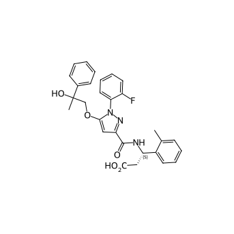 Cc1ccccc1[C@H](CC(=O)O)NC(=O)c1cc(OCC(C)(O)c2ccccc2)n(-c2ccccc2F)n1